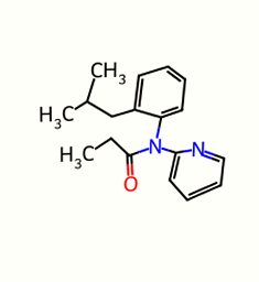 CCC(=O)N(c1ccccn1)c1ccccc1CC(C)C